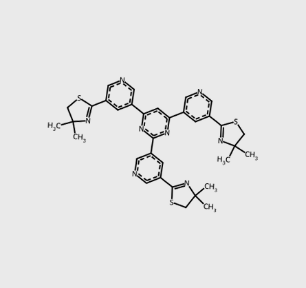 CC1(C)CSC(c2cncc(-c3cc(-c4cncc(C5=NC(C)(C)CS5)c4)nc(-c4cncc(C5=NC(C)(C)CS5)c4)n3)c2)=N1